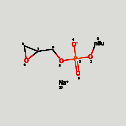 CCCCOP(=O)([O-])OCC1CO1.[Na+]